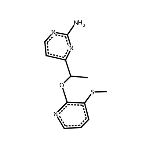 CSc1cccnc1OC(C)c1ccnc(N)n1